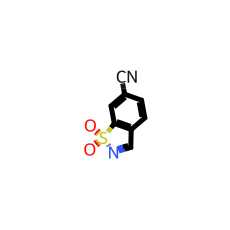 N#Cc1ccc2c(c1)S(=O)(=O)N=C2